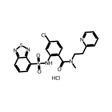 CN(CCc1ccccn1)C(=O)c1ccc(Cl)cc1NS(=O)(=O)c1cccc2nsnc12.Cl